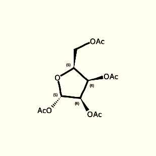 CC(=O)OC[C@@H]1O[C@@H](OC(C)=O)[C@H](OC(C)=O)[C@@H]1OC(C)=O